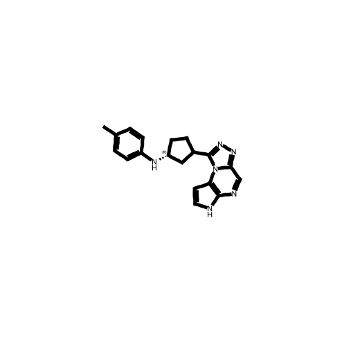 Cc1ccc(N[C@@H]2CCC(c3nnc4cnc5[nH]ccc5n34)C2)cc1